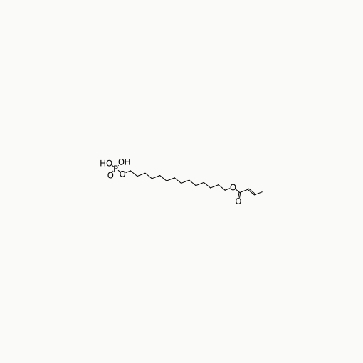 CC=CC(=O)OCCCCCCCCCCCCCCOP(=O)(O)O